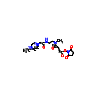 CN(CCN[13C](=O)C[15N]1CC[15N]([13CH3])[13CH2][13CH2]1)[13C](=O)CC[13C](=O)ON1C(=O)CCC1=O